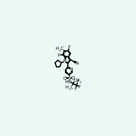 Cc1c(F)cc2c(C#N)c(-c3ccc(S(=O)(=O)NC(C)(C)C(F)(F)F)cn3)n(C3CCCC3)c2c1F